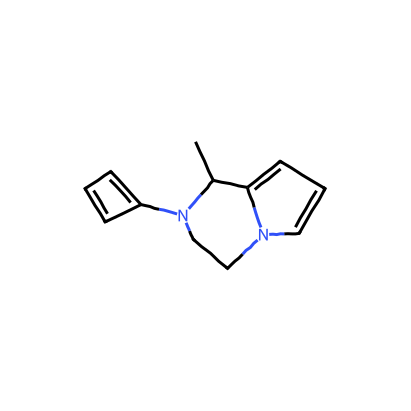 CC1c2cccn2CCN1C1=CC=C1